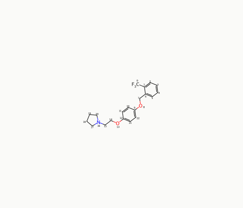 FC(F)(F)c1ccccc1COc1ccc(OCCN2CCCC2)cc1